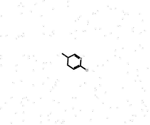 CC1C=NC(Cl)=CC1